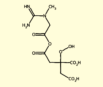 CN(CC(=O)OC(=O)CC(CC(=O)O)(OO)C(=O)O)C(=N)N